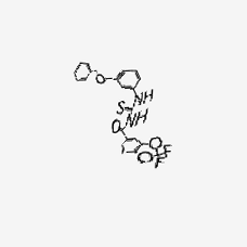 O=C(NC(=S)Nc1cccc(OCc2ccccc2)c1)c1ccc2c(c1)OC(F)(F)O2